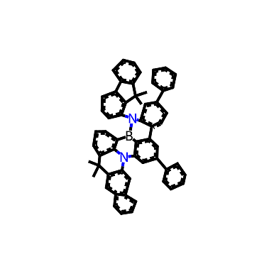 CC1(C)c2cc3ccccc3cc2N2c3cc(-c4ccccc4)cc4c3B(c3cccc1c32)N(c1cccc2c1C(C)(C)c1ccccc1-2)c1cc(-c2ccccc2)ccc1-4